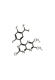 Cc1nc2nc(Cl)nc(-c3cc(C(F)F)c(F)cc3F)c2nc1C